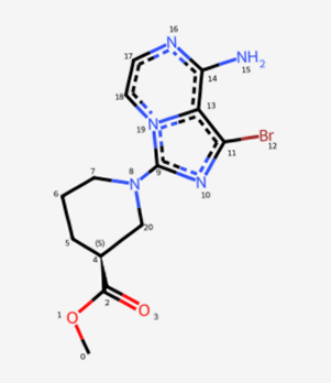 COC(=O)[C@H]1CCCN(c2nc(Br)c3c(N)nccn23)C1